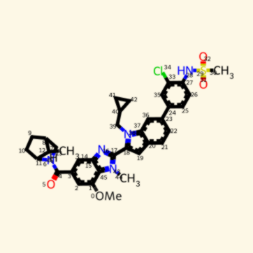 COc1cc(C(=O)N2CC3CCC2[C@@H]3C)cc2nc(-c3cc4ccc(-c5ccc(NS(C)(=O)=O)c(Cl)c5)cc4n3CC3CC3)n(C)c12